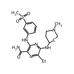 CCc1nc(C(N)=O)c(Nc2cccc(S(C)(=O)=O)c2)nc1NC1CCN(C)CC1